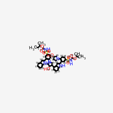 CCC(C)OC(=O)NS(=O)(=O)c1ccc(N2CC(c3cccc4[nH]c(-c5cc(S(=O)(=O)NC(=O)OC(C)C)ccc5N5CC[C@H](O)C5)cc34)[C@H](O)C2)c(-c2cc3ccccc3[nH]2)c1